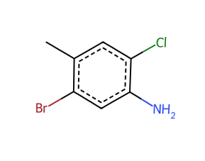 Cc1cc(Cl)c(N)cc1Br